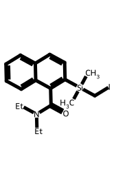 CCN(CC)C(=O)c1c([Si](C)(C)CI)ccc2ccccc12